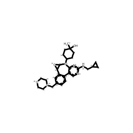 CC1(O)CCC(N2c3nc(NCC4CC4)ncc3-c3ccc(CN4CCOCC4)cc3C3OC32)CC1